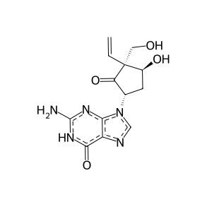 C=C[C@]1(CO)C(=O)[C@@H](n2cnc3c(=O)[nH]c(N)nc32)C[C@@H]1O